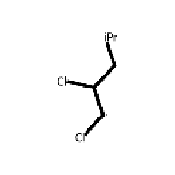 CC(C)CC(Cl)[CH]Cl